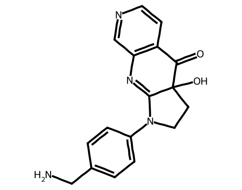 NCc1ccc(N2CCC3(O)C(=O)c4ccncc4N=C23)cc1